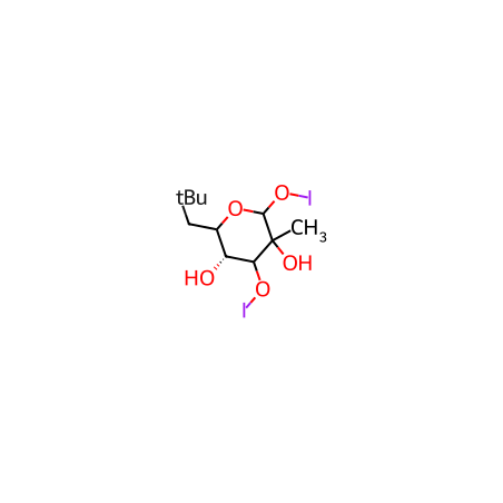 CC(C)(C)CC1OC(OI)C(C)(O)C(OI)[C@@H]1O